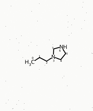 CCCN1CCNC1